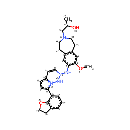 COc1cc2c(cc1NN1C=Cc3ccc(-c4cccc5c4OCC5)n3N1)CCN(C[C@@H](C)O)CC2